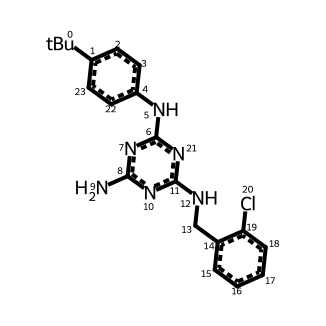 CC(C)(C)c1ccc(Nc2nc(N)nc(NCc3ccccc3Cl)n2)cc1